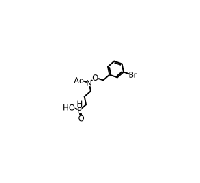 CC(=O)N(CCC[PH](=O)O)OCc1cccc(Br)c1